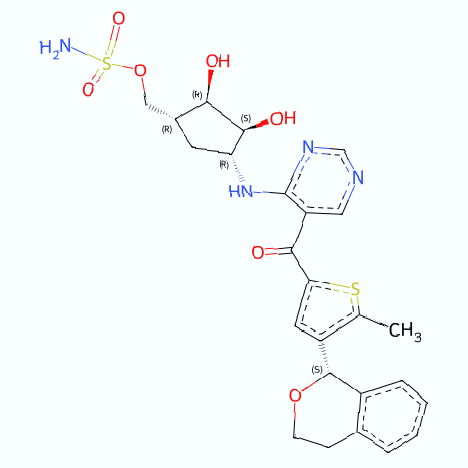 Cc1sc(C(=O)c2cncnc2N[C@@H]2C[C@H](COS(N)(=O)=O)[C@@H](O)[C@H]2O)cc1[C@H]1OCCc2ccccc21